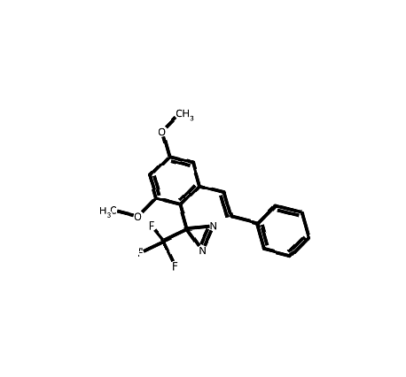 COc1cc(/C=C/c2ccccc2)c(C2(C(F)(F)F)N=N2)c(OC)c1